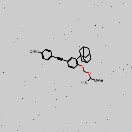 COC(C)OCOc1ccc(C#Cc2ccc([C]=O)cc2)cc1C12CC3CC(CC(C3)C1)C2